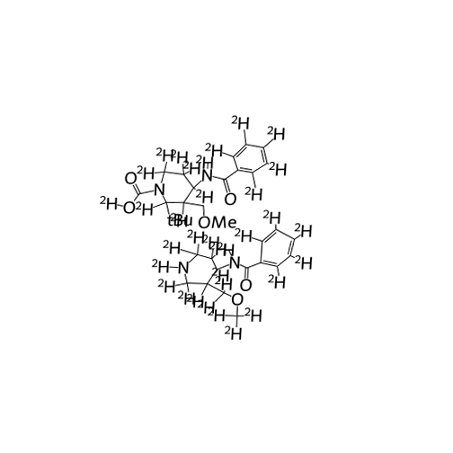 [2H]OC(=O)N1C([2H])([2H])C([2H])([2H])C([2H])(N([2H])C(=O)c2c([2H])c([2H])c([2H])c([2H])c2[2H])C([2H])(COC)C1([2H])C(C)(C)C.[2H]c1c([2H])c([2H])c(C(=O)N([2H])C2([2H])C([2H])([2H])C([2H])([2H])N([2H])C([2H])([2H])C2([2H])C([2H])([2H])OC([2H])([2H])[2H])c([2H])c1[2H]